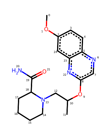 COc1ccc2ncc(OC(C)CN3CC[CH]CC3C(N)=O)nc2c1